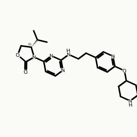 CC(C)[C@H]1COC(=O)N1c1ccnc(NCCc2ccc(OC3CCNCC3)nc2)n1